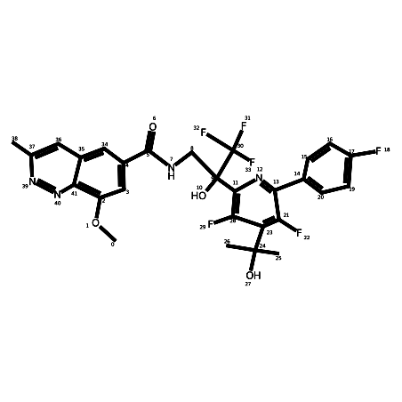 COc1cc(C(=O)NCC(O)(c2nc(-c3ccc(F)cc3)c(F)c(C(C)(C)O)c2F)C(F)(F)F)cc2cc(C)nnc12